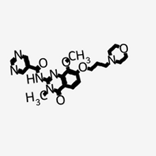 COc1c(OCCCN2CCOCC2)ccc2c(=O)n(C)c(NC(=O)c3cncnc3)nc12